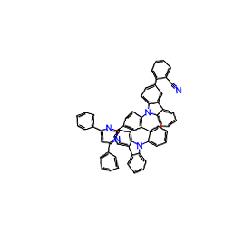 N#Cc1ccccc1-c1ccc2c(c1)c1ccccc1n2-c1ccc(-c2nc(-c3ccccc3)cc(-c3ccccc3)n2)cc1-c1ccccc1-n1c2ccccc2c2ccccc21